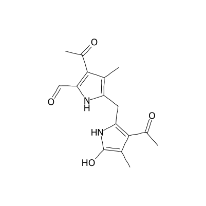 CC(=O)c1c(C=O)[nH]c(Cc2[nH]c(O)c(C)c2C(C)=O)c1C